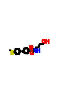 CSc1ccc(-c2ccc(S(=O)(=O)NCCCCO)cc2)cc1